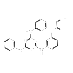 C=CC(=O)Oc1cccc(Nc2nc(Nc3ccccc3)nc(Nc3ccccc3)n2)c1